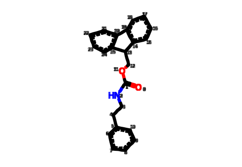 O=C(NCCc1ccccc1)OCC1c2ccccc2-c2ccccc21